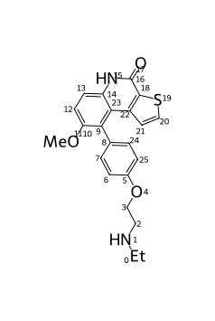 CCNCCOc1ccc(-c2c(OC)ccc3[nH]c(=O)c4sccc4c23)cc1